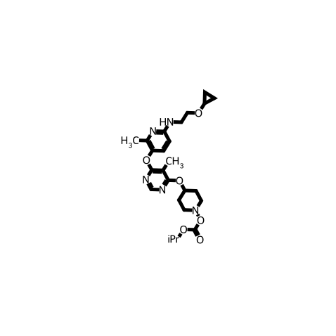 Cc1nc(NCCOC2CC2)ccc1Oc1ncnc(OC2CCN(OC(=O)OC(C)C)CC2)c1C